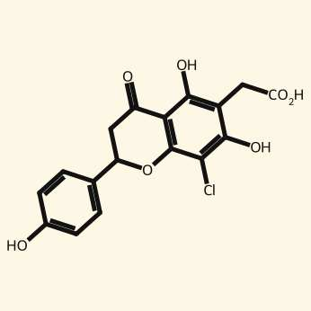 O=C(O)Cc1c(O)c(Cl)c2c(c1O)C(=O)CC(c1ccc(O)cc1)O2